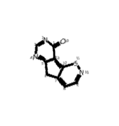 O=C1N=CN=C2CC3=CC=NSC3=C12